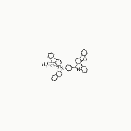 CC1(C)c2ccccc2-c2ccc(N(c3ccc(-c4nc5ccccc5c5c4ccc4c6ccccc6oc45)cc3)c3ccc4ccccc4c3)cc21